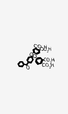 O=C(C1=CCC(Oc2ccc(C(=O)O)c(C(=O)O)c2)(Oc2ccc(C(=O)O)c(C(=O)O)c2)C=C1)c1ccccc1